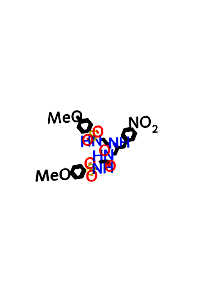 COc1ccc(S(=O)(=O)NCC(=O)NCC(Cc2ccc([N+](=O)[O-])cc2)NC(=O)CNS(=O)(=O)c2ccc(OC)cc2)cc1